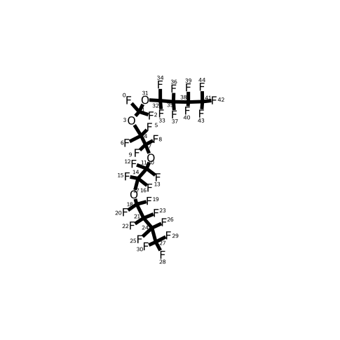 FC(F)(OC(F)(F)C(F)(F)OC(F)(F)C(F)(F)OC(F)(F)C(F)(F)C(F)(F)C(F)(F)F)OC(F)(F)C(F)(F)C(F)(F)C(F)(F)F